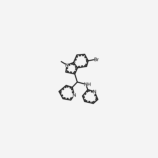 Cn1cc(C(Nc2ccccn2)c2ccccn2)c2cc(Br)ccc21